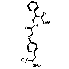 COC(=O)C(CNC(=O)COc1ccc(C[C@H](OC)C(=O)O)cc1)c1ccccc1